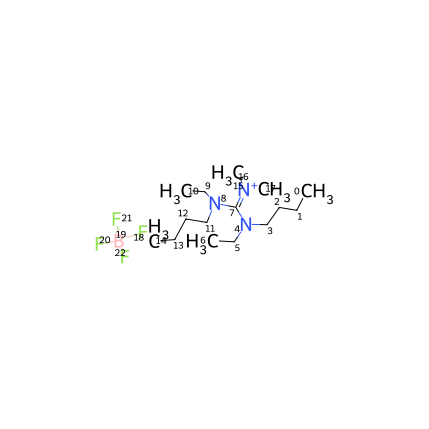 CCCCN(CC)C(N(CC)CCCC)=[N+](C)C.F[B-](F)(F)F